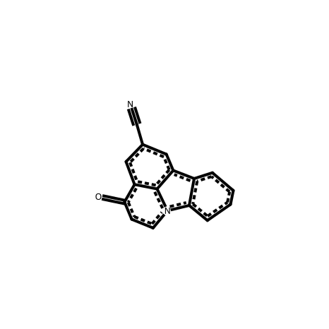 N#Cc1cc2c(=O)ccn3c4ccccc4c(c1)c23